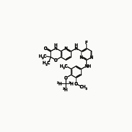 [2H]C([2H])([2H])Oc1c(C)cc(Nc2ncc(F)c(Nc3ccc4c(n3)NC(=O)C(C)(C)O4)n2)cc1OC